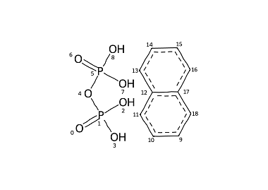 O=P(O)(O)OP(=O)(O)O.c1ccc2ccccc2c1